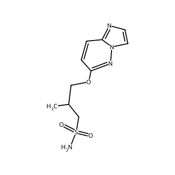 CC(COc1ccc2nccn2n1)CS(N)(=O)=O